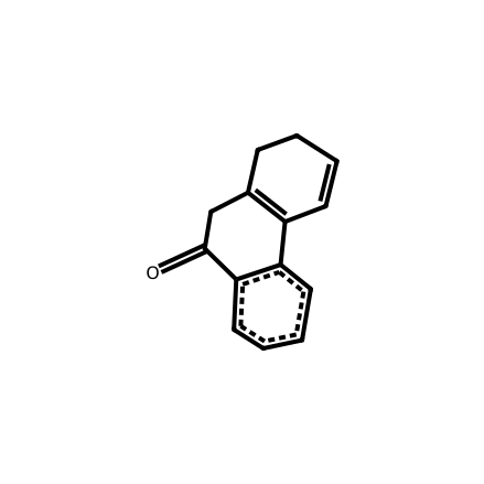 O=C1CC2=C(C=CCC2)c2ccccc21